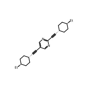 CC[C@H]1CC[C@H](C#Cc2cnc(C#C[C@H]3CC[C@H](CC)CC3)nc2)CC1